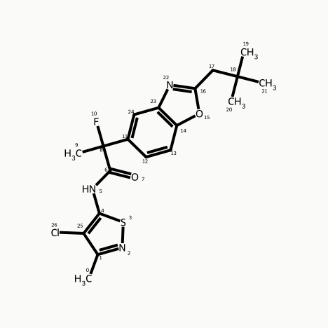 Cc1nsc(NC(=O)C(C)(F)c2ccc3oc(CC(C)(C)C)nc3c2)c1Cl